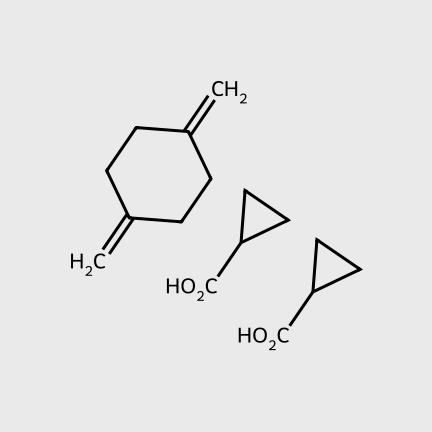 C=C1CCC(=C)CC1.O=C(O)C1CC1.O=C(O)C1CC1